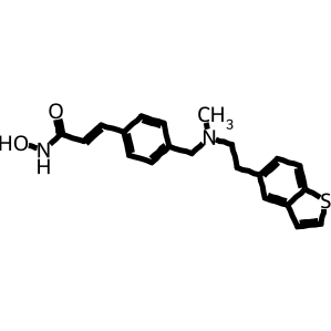 CN(CCc1ccc2sccc2c1)Cc1ccc(/C=C/C(=O)NO)cc1